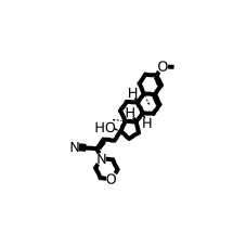 COC1=CC2=CC[C@@H]3[C@H](CC[C@@]4(C)[C@H]3CC[C@@]4(O)CC=C(C#N)N3CCOCC3)[C@@]2(C)CC1